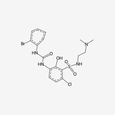 CN(C)CCNS(=O)(=O)c1c(Cl)ccc(NC(=O)Nc2ccccc2Br)c1O